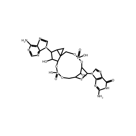 Nc1nc2c(ncn2C2SC3COP(=O)(S)OC4C(O)C(n5cnc6c(N)ncnc65)C5CC54COP(=O)(O)OC2C3O)c(=O)[nH]1